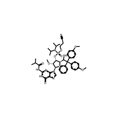 COc1ccc(C(c2ccccc2)(c2ccc(OC)cc2)C(O)[C@H]2O[C@@H](n3cnc4c(=O)[nH]c(NC(=O)C(C)C)nc43)[C@H](OC)[C@@H]2OP(=O)(OCCC#N)N(C(C)C)C(C)C)cc1